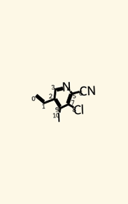 C=Cc1cnc(C#N)c(Cl)c1I